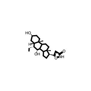 CC[C@H]1[C@@H](O)C2C3CC[C@H](c4cc(=O)[nH]o4)[C@@]3(C)CCC2[C@@]2(C)CC[C@@H](O)C[C@@H]12